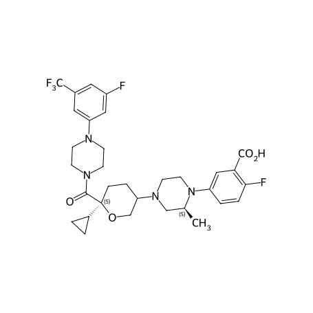 C[C@H]1CN(C2CC[C@@](C(=O)N3CCN(c4cc(F)cc(C(F)(F)F)c4)CC3)(C3CC3)OC2)CCN1c1ccc(F)c(C(=O)O)c1